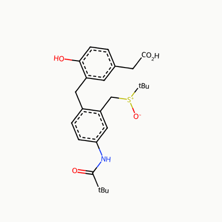 CC(C)(C)C(=O)Nc1ccc(Cc2cc(CC(=O)O)ccc2O)c(C[S+]([O-])C(C)(C)C)c1